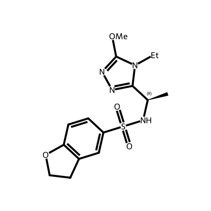 CCn1c(OC)nnc1[C@@H](C)NS(=O)(=O)c1ccc2c(c1)CCO2